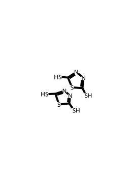 Sc1nnc(S)s1.Sc1nnc(S)s1